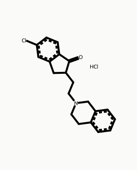 Cl.O=C1c2ccc(Cl)cc2CC1CCN1CCc2ccccc2C1